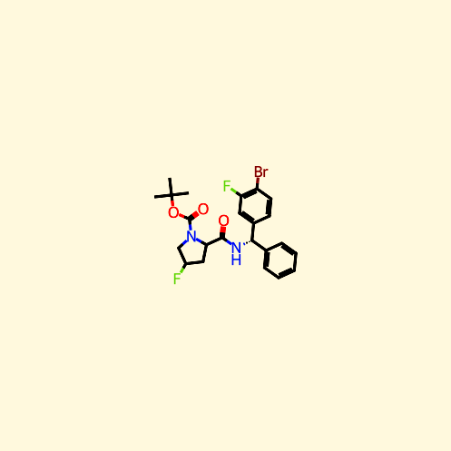 CC(C)(C)OC(=O)N1CC(F)CC1C(=O)N[C@@H](c1ccccc1)c1ccc(Br)c(F)c1